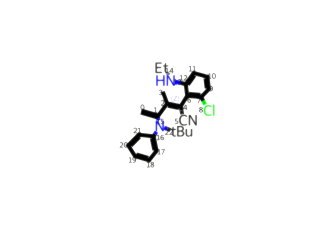 C=C(/C(C)=C(\C#N)c1c(Cl)cccc1NCC)N(c1ccccc1)C(C)(C)C